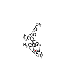 CC1(C)CC[C@]23CC[C@]4(C)C(CCC5[C@@]6(C)CC[C@H](OC(=O)C[n+]7cccc(CO)c7)C(C)(C)C6CC[C@]54C)C2[C@H]1OC3